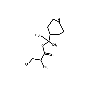 CCC(C)C(=O)OC(C)(C)C1CCNCC1